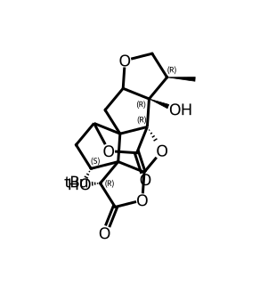 C[C@@H]1COC2CC34C5C[C@@H](C(C)(C)C)C36C(OC(=O)[C@@H]6O)O[C@@]4(C(=O)O5)[C@]21O